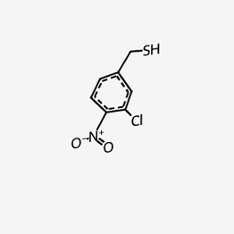 O=[N+]([O-])c1ccc(CS)cc1Cl